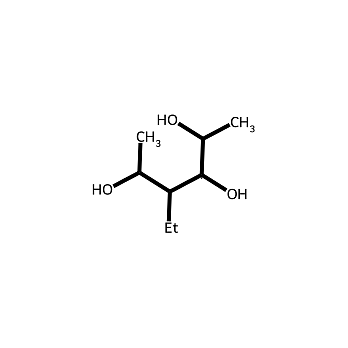 CCC([C](O)C(C)O)C(C)O